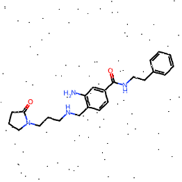 Nc1cc(C(=O)NCCc2ccccc2)ccc1CNCCCN1CCCC1=O